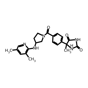 Cc1cnc(NC2CCN(C(=O)c3ccc(C4(C)NC(=O)NC4=O)cc3)C2)c(C)c1